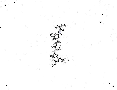 COC(=O)NC(CC/C=C/C(=O)N(C)C)C(=O)Nc1cccn(Cc2nc3c(C=C(C)C)nc(C)cc3[nH]2)c1=O